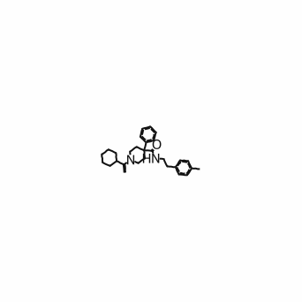 C=C(C1CCCCC1)N1CCC(C(=O)NCCc2ccc(C)cc2)(c2ccccc2)CC1